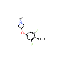 CCCN1CC(Oc2cc(F)c(C=O)c(F)c2)C1